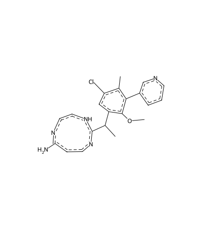 COc1c(C(C)c2nccc(N)ncc[nH]2)cc(Cl)c(C)c1-c1cccnc1